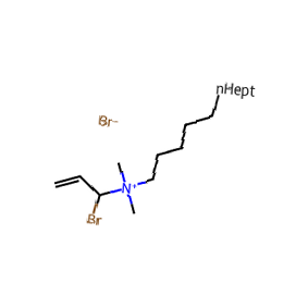 C=CC(Br)[N+](C)(C)CCCCCCCCCCCC.[Br-]